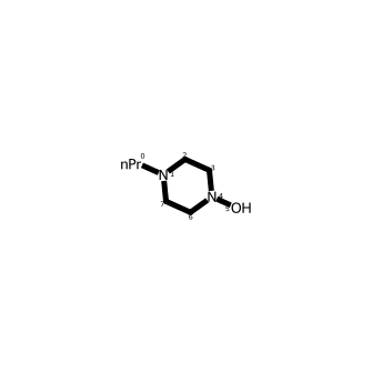 CCCN1CCN(O)CC1